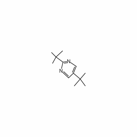 CC(C)(C)c1cnc(C(C)(C)C)nc1